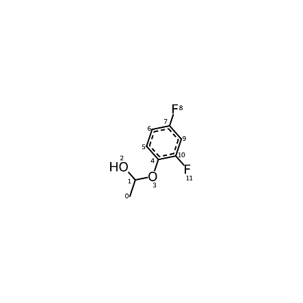 CC(O)Oc1ccc(F)cc1F